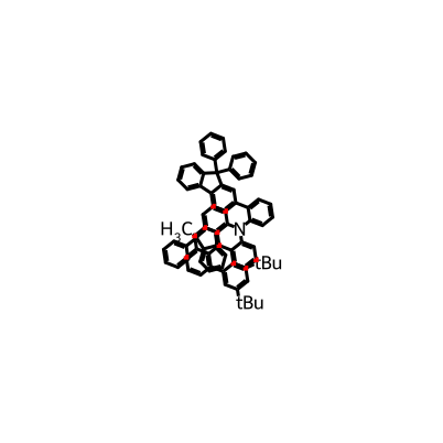 CC(C)(C)c1cc(-c2cccc3cccc(-c4ccccc4N(c4ccccc4-c4ccc5c(c4)C(c4ccccc4)(c4ccccc4)c4ccccc4-5)c4cccc5c4-c4ccccc4C5(C)c4ccccc4)c23)cc(C(C)(C)C)c1